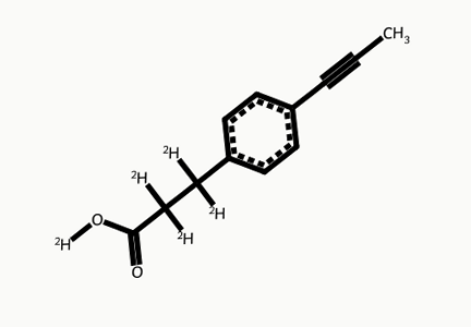 [2H]OC(=O)C([2H])([2H])C([2H])([2H])c1ccc(C#CC)cc1